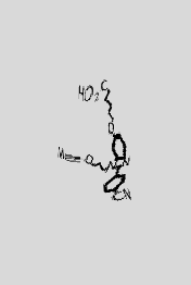 COCCCn1c(-c2ccc(C#N)cc2)nc2ccc(OCCCCCC(=O)O)cc21